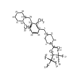 Cc1c(CN2CCN(C(=O)OC(C(F)(F)F)C(F)(F)F)CC2)cccc1CN1CCCC[C@@H]1C